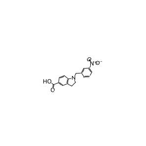 O=C(O)c1ccc2c(c1)CCN2Cc1cccc([N+](=O)[O-])c1